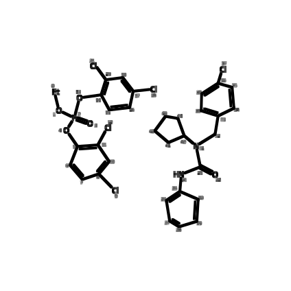 CCOP(=O)(Oc1ccc(Cl)cc1Cl)Oc1ccc(Cl)cc1Cl.O=C(Nc1ccccc1)N(Cc1ccc(Cl)cc1)C1CCCC1